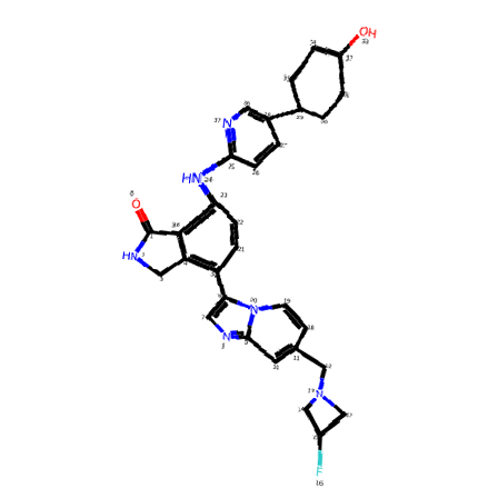 O=C1NCc2c(-c3cnc4cc(CN5CC(F)C5)ccn34)ccc(Nc3ccc(C4CCC(O)CC4)cn3)c21